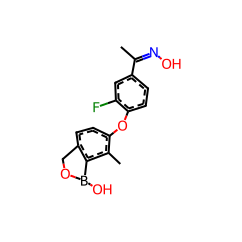 C/C(=N/O)c1ccc(Oc2ccc3c(c2C)B(O)OC3)c(F)c1